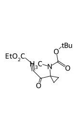 CCOC(=O)C#CC(=O)C1(N(C)C(=O)OC(C)(C)C)CC1